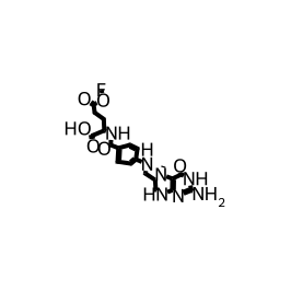 CN1c2c(nc(N)[nH]c2=O)NCC1CNc1ccc(C(=O)NC(CCC(=O)OF)C(=O)O)cc1